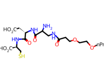 CCCOCCOCCC(=O)NCC(N)C(=O)N[C@@H](CC(=O)O)C(=O)N[C@@H](CS)C(=O)O